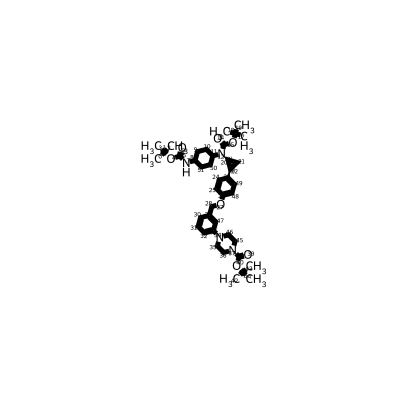 CC(C)(C)OC(=O)NC1CCC(N(C(=O)OC(C)(C)C)[C@@H]2C[C@H]2c2ccc(OCc3cccc(N4CCN(C(=O)OC(C)(C)C)CC4)c3)cc2)CC1